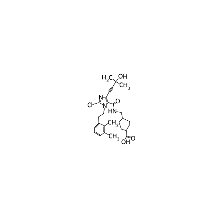 Cc1cccc(CCn2c(Cl)nc(C#CC(C)(C)O)c2C(=O)NCC2CCC(C(=O)O)CC2)c1C